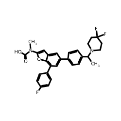 CC(c1ccc(-c2cc(-c3ccc(F)cc3)c3oc(N(C)C(=O)O)cc3c2)cc1)N1CCC(F)(F)CC1